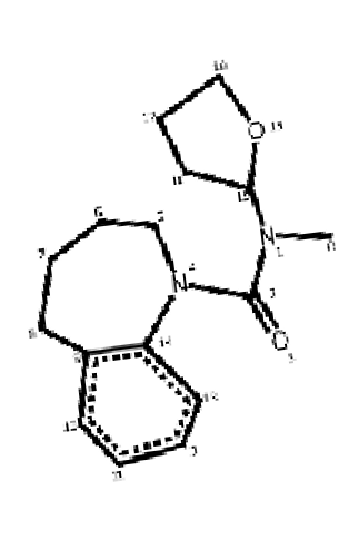 CN(C(=O)N1CCCCc2ccccc21)C1CCCO1